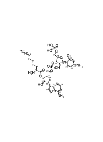 [N-]=[N+]=NCCCCC(N)C(=O)O[C@H]1[C@@H](O)[C@H](n2cnc3c(N)ncnc32)O[C@H]1COP(=O)(O)O[C@H]1C[C@H](n2ccc(N)nc2=O)O[C@@H]1COP(=O)(O)O